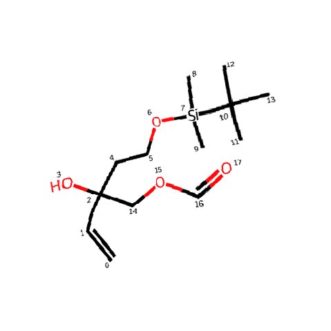 C=CC(O)(CCO[Si](C)(C)C(C)(C)C)COC=O